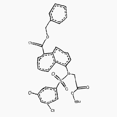 CC(C)(C)OC(=O)CN(c1cccc2c(C(=O)OCc3ccccc3)cccc12)S(=O)(=O)c1cc(Cl)cc(Cl)c1